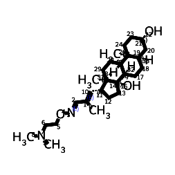 CC(/C=N/OCCN(C)C)=C\[C@H]1CC[C@]2(O)[C@@H]3CC[C@@H]4C[C@@H](O)CC[C@]4(C)[C@H]3CC[C@]12C